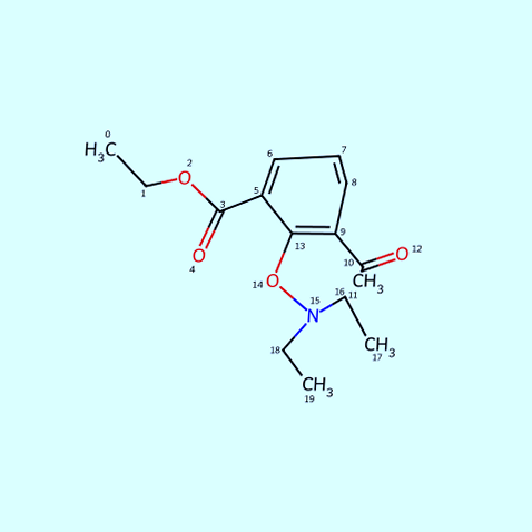 CCOC(=O)c1cccc(C(C)=O)c1ON(CC)CC